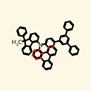 CC1(c2ccccc2)c2ccccc2-c2c(N(c3ccc(-c4cc(-c5ccccc5)cc(-c5ccccc5)c4)cc3)c3ccccc3-c3ccccc3-c3ccccc3-c3ccccc3)cccc21